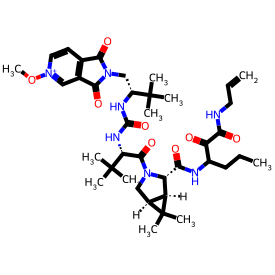 C=CCNC(=O)C(=O)C(CCC)NC(=O)[C@@H]1[C@@H]2[C@H](CN1C(=O)[C@@H](NC(=O)N[C@H](CN1C(=O)c3cc[n+](OC)cc3C1=O)C(C)(C)C)C(C)(C)C)C2(C)C